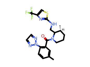 Cc1ccc(-n2nccn2)c(C(=O)N2CCC[C@@H](C)C2CNc2nc(C(F)(F)F)cs2)c1